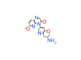 COc1ccc2ncc(=O)n(-c3cnc4c(c3)OCC(N)C4)c2n1